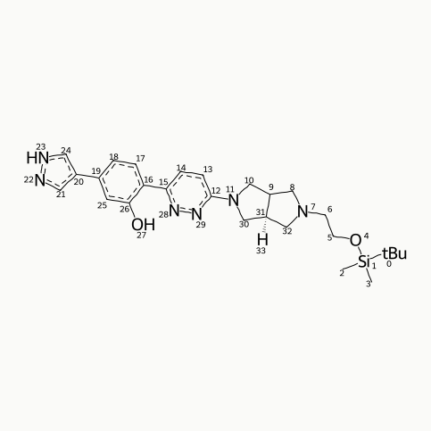 CC(C)(C)[Si](C)(C)OCCN1CC2CN(c3ccc(-c4ccc(-c5cn[nH]c5)cc4O)nn3)C[C@@H]2C1